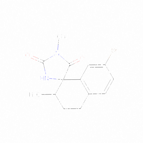 CC1CCc2ccc(Br)cc2C12NC(=O)N(C)C2=O